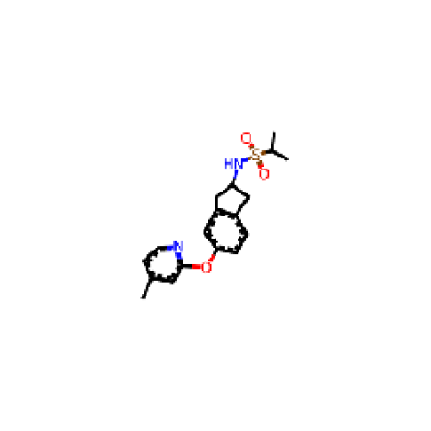 Cc1ccnc(Oc2ccc3c(c2)C[C@@H](NS(=O)(=O)C(C)C)C3)c1